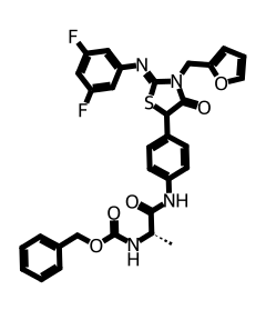 C[C@H](NC(=O)OCc1ccccc1)C(=O)Nc1ccc(C2S/C(=N\c3cc(F)cc(F)c3)N(Cc3ccco3)C2=O)cc1